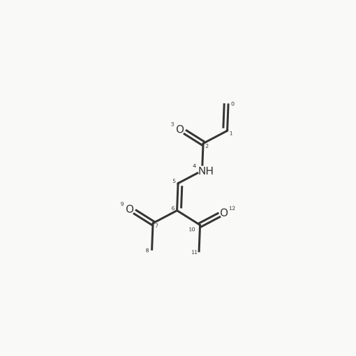 C=CC(=O)NC=C(C(C)=O)C(C)=O